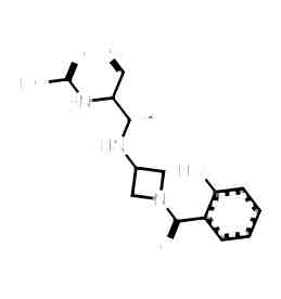 O=CC(NC(=O)O)[C@H](O)NC1CN(C(=O)c2ccccc2O)C1